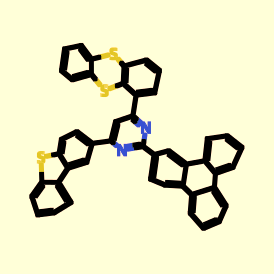 c1ccc2c(c1)Sc1cccc(-c3cc(-c4ccc5sc6ccccc6c5c4)nc(-c4ccc5c6ccccc6c6ccccc6c5c4)n3)c1S2